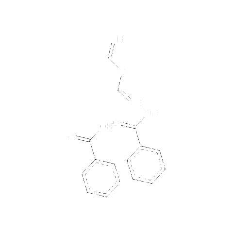 C=COC=C.O=C(O)c1ccccc1.O=C(O)c1ccccc1